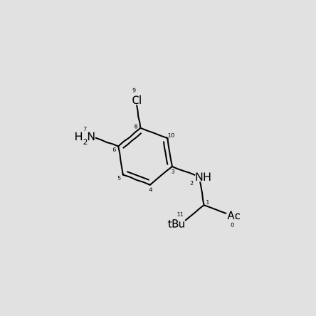 CC(=O)C(Nc1ccc(N)c(Cl)c1)C(C)(C)C